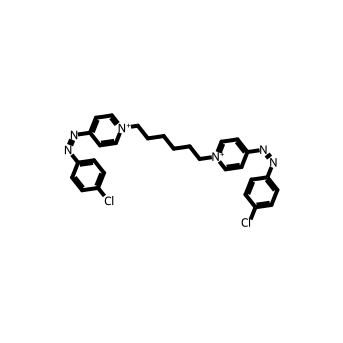 Clc1ccc(/N=N\c2cc[n+](CCCCCC[n+]3ccc(/N=N\c4ccc(Cl)cc4)cc3)cc2)cc1